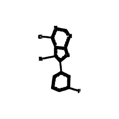 Fc1cccc(-c2sc3ncnc(Cl)c3c2Br)c1